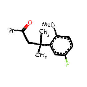 COc1ccc(F)cc1C(C)(C)CC(=O)C(C)C